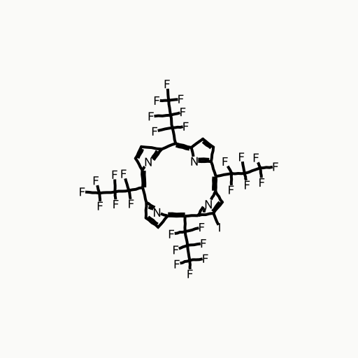 FC(F)(F)C(F)(F)C(F)(F)C1=C2C=CC(=N2)C(C(F)(F)C(F)(F)C(F)(F)F)=C2C=C(I)C(=N2)C(C(F)(F)C(F)(F)C(F)(F)F)=C2C=CC(=N2)C(C(F)(F)C(F)(F)C(F)(F)F)=C2C=CC1=N2